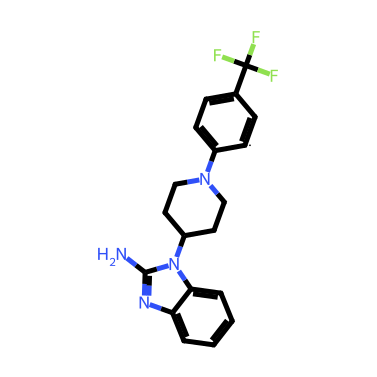 Nc1nc2ccccc2n1C1CCN(c2[c]cc(C(F)(F)F)cc2)CC1